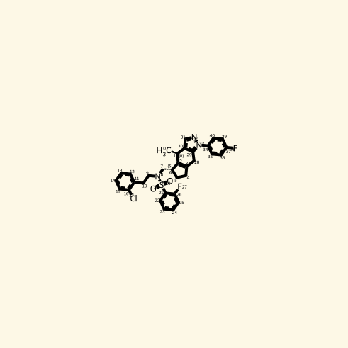 C[C@@H]1C2=C(CC[C@@H]2CN(CCc2ccccc2Cl)S(=O)(=O)c2ccccc2F)Cc2c1cnn2-c1ccc(F)cc1